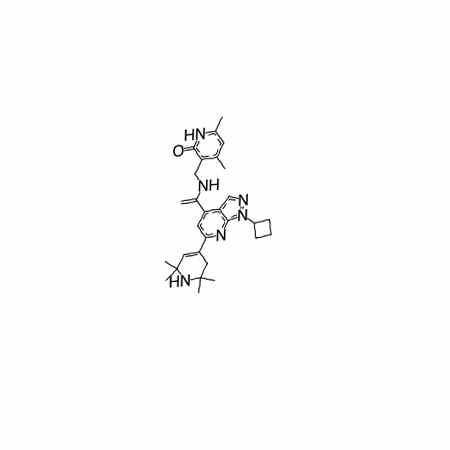 C=C(NCc1c(C)cc(C)[nH]c1=O)c1cc(C2=CC(C)(C)NC(C)(C)C2)nc2c1cnn2C1CCC1